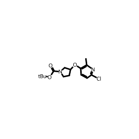 Cc1nc(Cl)ccc1OC1CCN(C(=O)OC(C)(C)C)C1